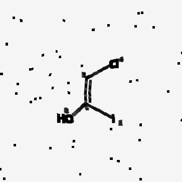 OC(I)=CCl